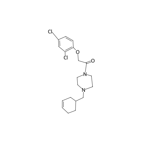 O=C(COc1ccc(Cl)cc1Cl)N1CCN(CC2CC=CCC2)CC1